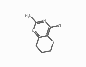 Nc1nc(Cl)c2c(n1)CCCS2